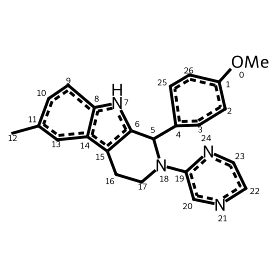 COc1ccc(C2c3[nH]c4ccc(C)cc4c3CCN2c2cnccn2)cc1